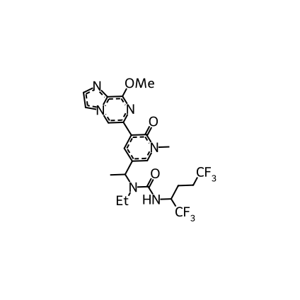 CCN(C(=O)NC(CCC(F)(F)F)C(F)(F)F)C(C)c1cc(-c2cn3ccnc3c(OC)n2)c(=O)n(C)c1